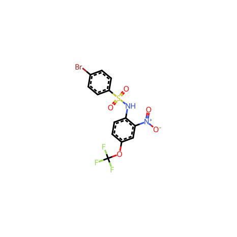 O=[N+]([O-])c1cc(OC(F)(F)F)ccc1NS(=O)(=O)c1ccc(Br)cc1